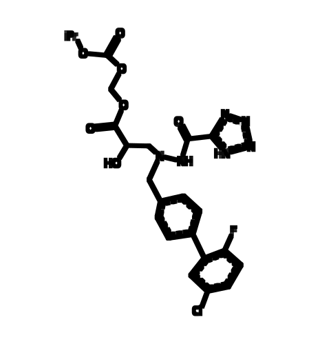 CC(C)OC(=O)OCOC(=O)C(O)CN(Cc1ccc(-c2cc(Cl)ccc2F)cc1)NC(=O)c1nnn[nH]1